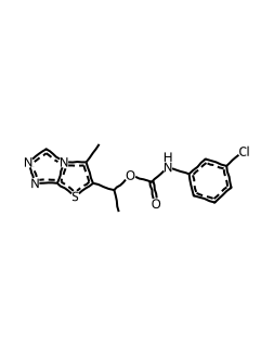 Cc1c(C(C)OC(=O)Nc2cccc(Cl)c2)sc2nncn12